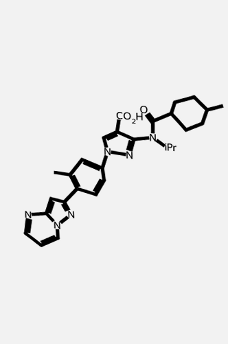 Cc1cc(-n2cc(C(=O)O)c(N(C(=O)C3CCC(C)CC3)C(C)C)n2)ccc1-c1cc2ncccn2n1